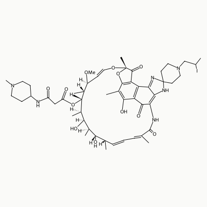 CO[C@H]1/C=C/O[C@@]2(C)Oc3c(C)c(O)c4c(c3C2=O)C2=NC3(CCN(CC(C)I)CC3)NC2=C(NC(=O)/C(C)=C\C=C\[C@H](C)[C@H](O)[C@@H](C)[C@@H](O)[C@@H](C)[C@H](OC(=O)CC(=O)NC2CCN(C)CC2)[C@@H]1C)C4=O